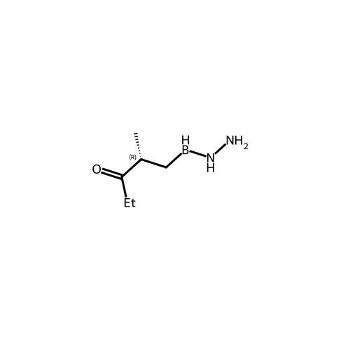 CCC(=O)[C@H](C)CBNN